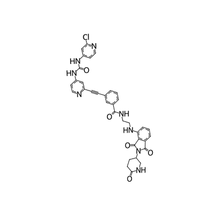 O=C1CCC(N2C(=O)c3cccc(NCCNC(=O)c4cccc(C#Cc5cc(NC(=O)Nc6ccnc(Cl)c6)ccn5)c4)c3C2=O)CN1